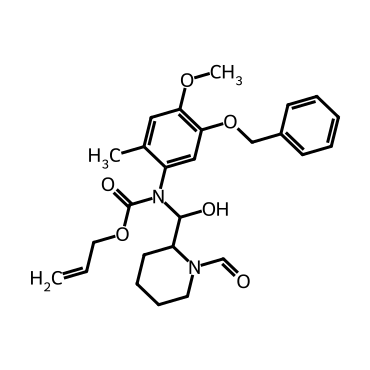 C=CCOC(=O)N(c1cc(OCc2ccccc2)c(OC)cc1C)C(O)C1CCCCN1C=O